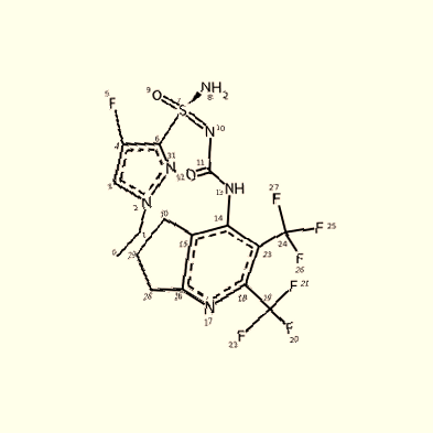 CCn1cc(F)c([S@](N)(=O)=NC(=O)Nc2c3c(nc(C(F)(F)F)c2C(F)(F)F)CCC3)n1